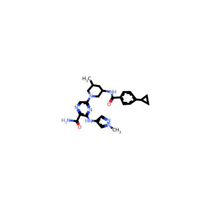 CC1CC(NC(=O)c2ccc(C3CC3)cc2)CN(c2cnc(C(N)=O)c(Nc3cnn(C)c3)n2)C1